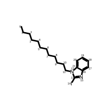 CCCCCCCCCCCCn1c(I)nc2ccccc21